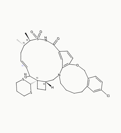 C[C@@H]1[C@@H](C)C/C=C/C(O)[C@]2(C3SCCCS3)CC[C@H]2CN2CCCCc3cc(Cl)ccc3COc3ccc(cc32)C(=O)NS1(=O)=O